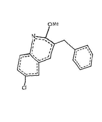 COc1nc2ccc(Cl)cc2cc1Cc1ccccc1